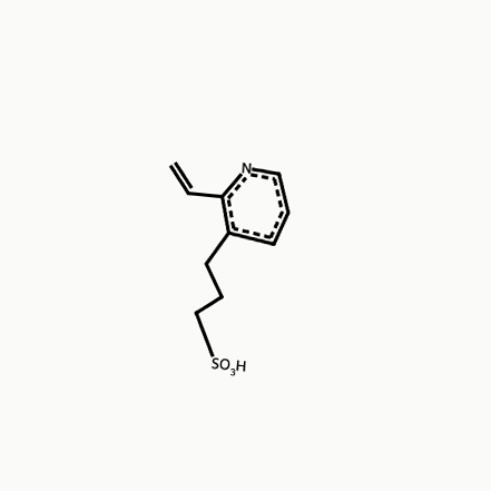 C=Cc1ncccc1CCCS(=O)(=O)O